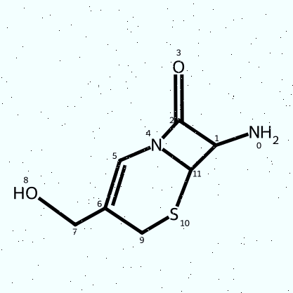 NC1C(=O)N2C=C(CO)CSC12